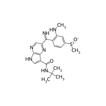 CNc1cc([S+](C)[O-])ccc1C(=N)c1cnc2[nH]cc(C(=O)NC(C)(C)C)c2n1